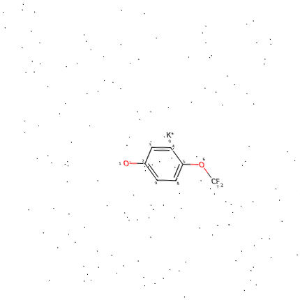 [K+].[O-]c1ccc(OC(F)(F)F)cc1